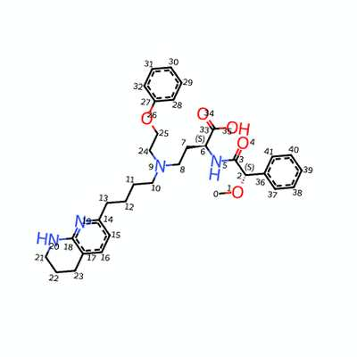 CO[C@H](C(=O)N[C@@H](CCN(CCCCc1ccc2c(n1)NCCC2)CCOc1ccccc1)C(=O)O)c1ccccc1